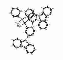 CC1(C2(C)c3ccccc3-c3ccc(-n4c5ccccc5c5ccccc54)cc32)c2ccccc2-c2ccc(-n3c4ccccc4c4ccccc43)cc21